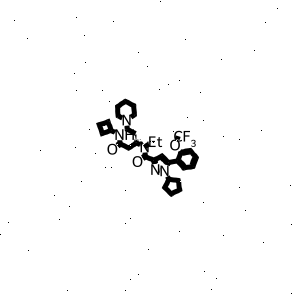 CCN(C(=O)c1cc(-c2ccccc2OC(F)(F)F)n(C2CCCC2)n1)[C@@H](CCN1CCCCC1)CC(=O)NC1CCC1